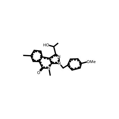 COc1ccc(Cn2nc(C(C)O)c3c4ccc(C)cc4c(=O)n(C)c32)cc1